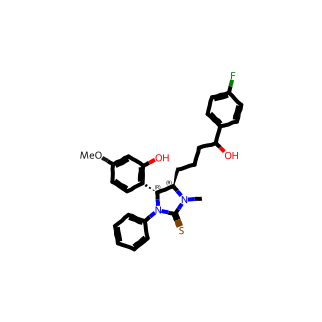 COc1ccc([C@@H]2[C@@H](CCCC(O)c3ccc(F)cc3)N(C)C(=S)N2c2ccccc2)c(O)c1